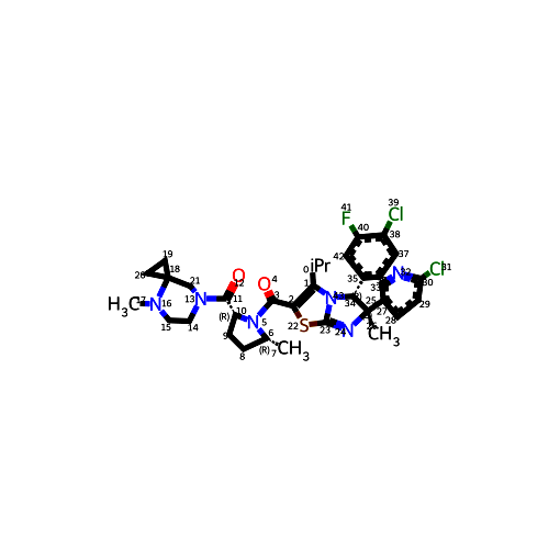 CC(C)C1=C(C(=O)N2[C@H](C)CC[C@@H]2C(=O)N2CCN(C)C3(CC3)C2)SC2=N[C@@](C)(c3ccc(Cl)nc3)[C@@H](c3ccc(Cl)c(F)c3)N21